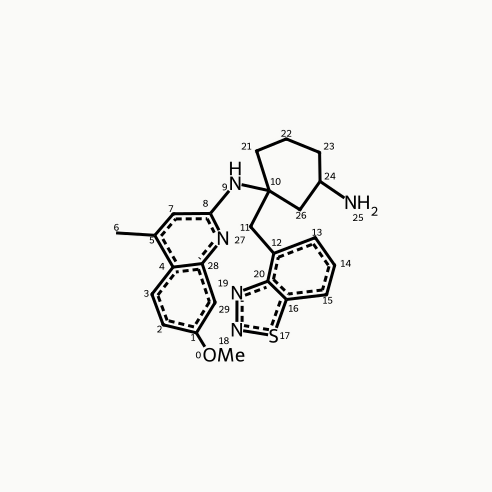 COc1ccc2c(C)cc(NC3(Cc4cccc5snnc45)CCCC(N)C3)nc2c1